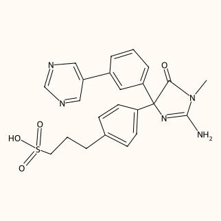 CN1C(=O)C(c2ccc(CCCS(=O)(=O)O)cc2)(c2cccc(-c3cncnc3)c2)N=C1N